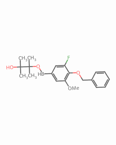 COc1cc(BOC(C)(C)C(C)(C)O)cc(F)c1OCc1ccccc1